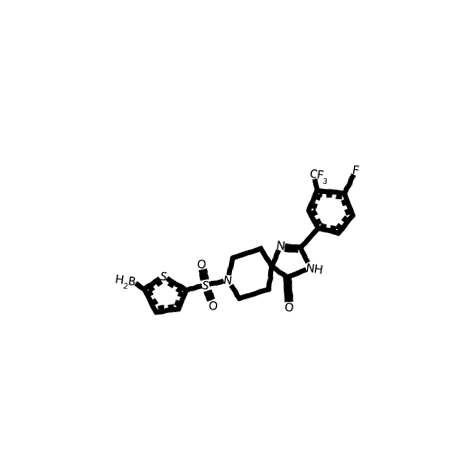 Bc1ccc(S(=O)(=O)N2CCC3(CC2)N=C(c2ccc(F)c(C(F)(F)F)c2)NC3=O)s1